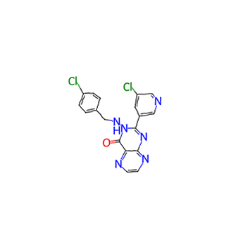 O=c1c2nccnc2nc(-c2cncc(Cl)c2)n1NCc1ccc(Cl)cc1